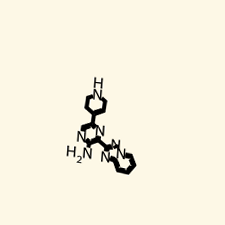 Nc1ncc(C2=CCNCC2)nc1-c1nc2ccccn2n1